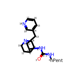 CCCCCNC(=O)NC1C2CCN(CC2)C1Cc1cccnc1